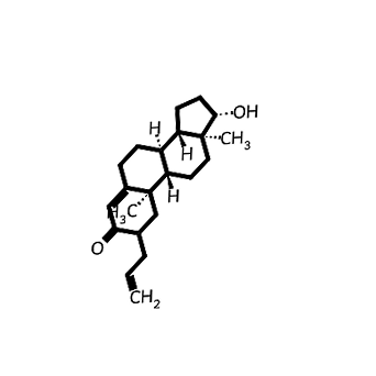 C=CCC1C[C@@]2(C)C(=CC1=O)CC[C@H]1[C@@H]3CC[C@H](O)[C@@]3(C)CC[C@@H]12